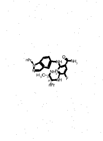 CCC[C@@H](Nc1nc(Nc2ccc3c(cnn3CCC)c2)c(C(N)=O)cc1F)[C@H](C)N